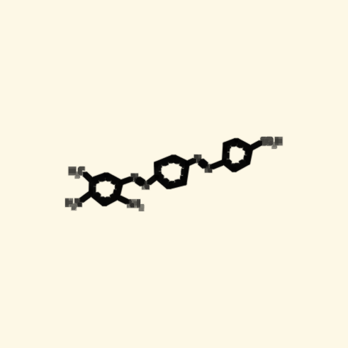 Cc1cc(N=Nc2ccc(N=Nc3ccc(S(=O)(=O)O)cc3)cc2)c(N)cc1N